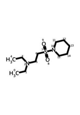 CCN(CC)CCS(=O)(=O)N1CC[CH]CC1